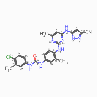 Cc1cc(Nc2cc(C#N)n[nH]2)nc(Nc2ccc(NC(=O)Nc3ccc(Cl)c(C(F)(F)F)c3)cc2C)n1